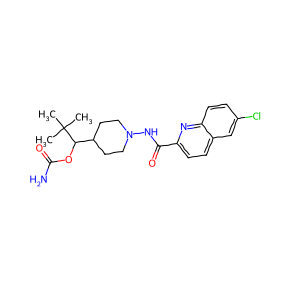 CC(C)(C)C(OC(N)=O)C1CCN(NC(=O)c2ccc3cc(Cl)ccc3n2)CC1